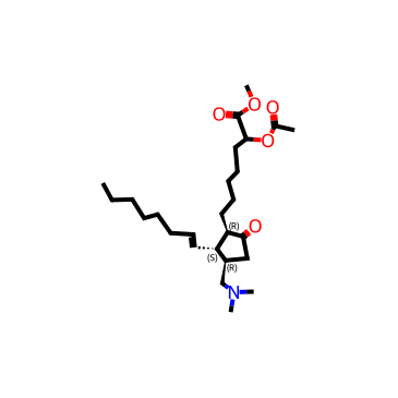 CCCCCCC=C[C@H]1[C@H](CN(C)C)CC(=O)[C@@H]1CCCCCC(OC(C)=O)C(=O)OC